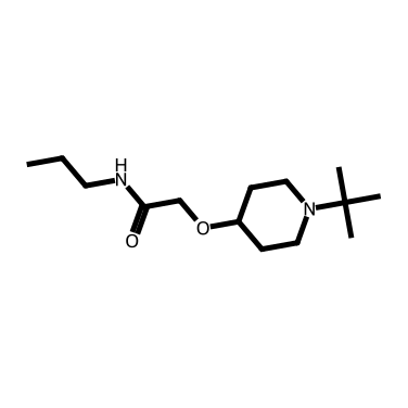 CCCNC(=O)COC1CCN(C(C)(C)C)CC1